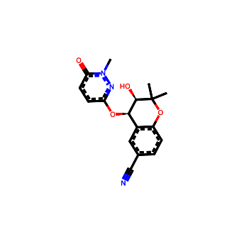 Cn1nc(O[C@@H]2c3cc(C#N)ccc3OC(C)(C)[C@@H]2O)ccc1=O